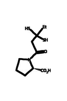 CCC(S)(S)CC(=O)N1CCC[C@H]1C(=O)O